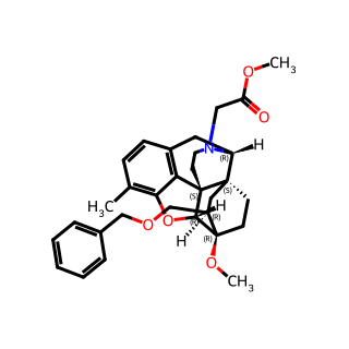 COC(=O)CN1CC[C@]23c4c5ccc(C)c4O[C@H]2[C@@]2(OC)CC[C@@]3(C[C@@H]2COCc2ccccc2)[C@H]1C5